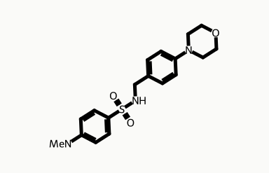 CNc1ccc(S(=O)(=O)NCc2ccc(N3CCOCC3)cc2)cc1